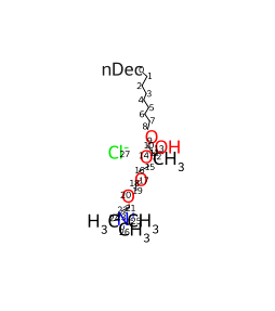 CCCCCCCCCCCCCCCCCCOCC(C)(O)OCCOCCOCC[N+](C)(C)C.[Cl-]